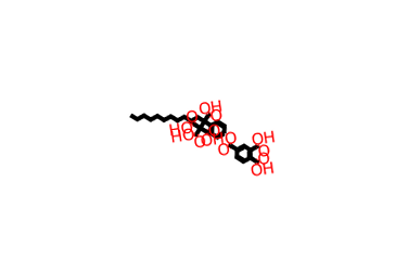 CCCCCCCCCCCC(C(=O)O)(c1ccc(OC(=O)c2ccc(C(=O)O)c(C(=O)O)c2)cc1)C(C(=O)O)(C(=O)O)C(=O)O